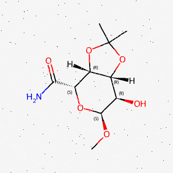 CO[C@H]1O[C@H](C(N)=O)[C@@H]2OC(C)(C)O[C@@H]2[C@H]1O